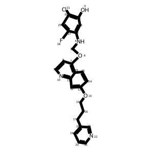 Oc1cc(NCOc2ccnc3cc(OCCCc4cccnc4)ccc23)c(F)cc1Cl